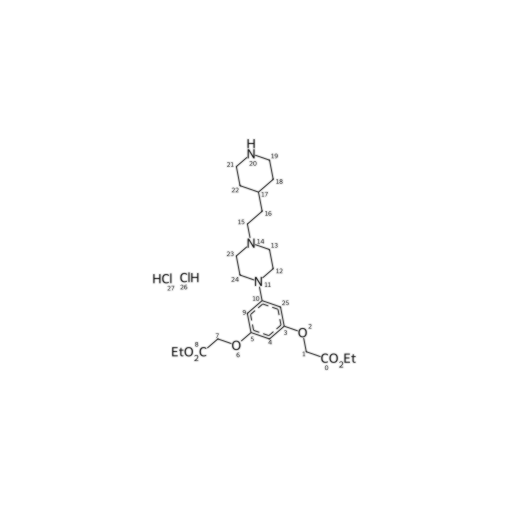 CCOC(=O)COc1cc(OCC(=O)OCC)cc(N2CCN(CCC3CCNCC3)CC2)c1.Cl.Cl